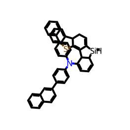 C[SiH]1C2=CCC3C(=C2C2C(N(c4ccc(-c5ccccc5)cc4)c4ccc(-c5ccc6ccccc6c5)cc4)=CC=CC21)Sc1ccccc13